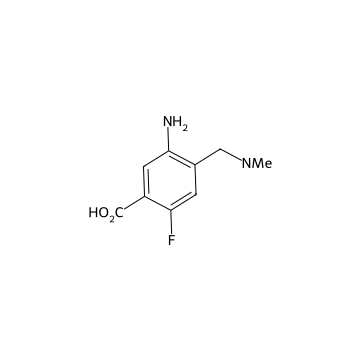 CNCc1cc(F)c(C(=O)O)cc1N